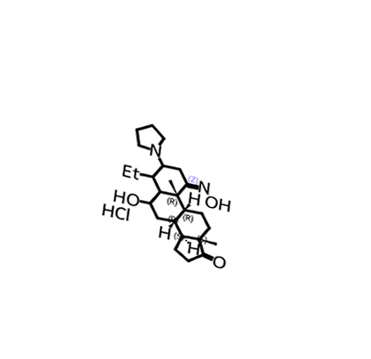 CCC1C(N2CCCC2)C/C(=N/O)[C@@]2(C)C1C(O)C[C@@H]1[C@H]2CC[C@]2(C)C(=O)CC[C@@H]12.Cl